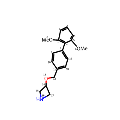 COc1cccc(OC)c1-c1ccc(COC2CNC2)cc1